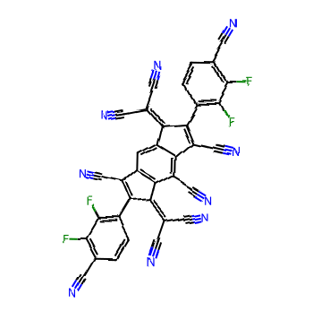 N#CC(C#N)=C1C(c2ccc(C#N)c(F)c2F)=C(C#N)c2c1cc1c(c2C#N)C(=C(C#N)C#N)C(c2ccc(C#N)c(F)c2F)=C1C#N